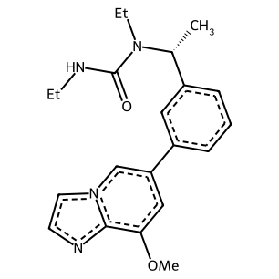 CCNC(=O)N(CC)[C@H](C)c1cccc(-c2cc(OC)c3nccn3c2)c1